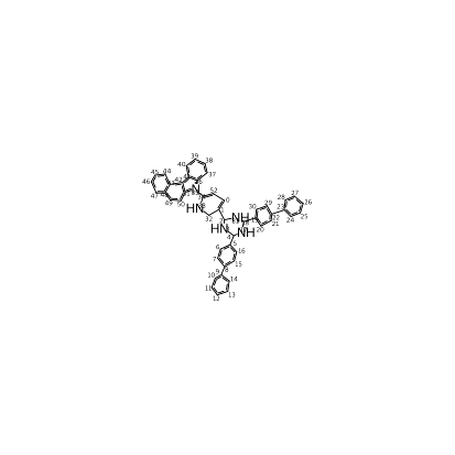 C1=C(C2NC(c3ccc(-c4ccccc4)cc3)NC(c3ccc(-c4ccccc4)cc3)N2)CNC(n2c3ccccc3c3c4ccccc4ccc32)=C1